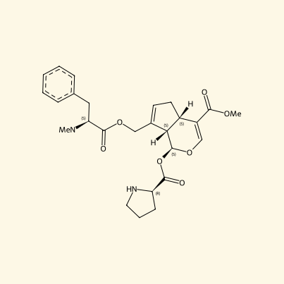 CN[C@@H](Cc1ccccc1)C(=O)OCC1=CC[C@@H]2C(C(=O)OC)=CO[C@@H](OC(=O)[C@H]3CCCN3)[C@H]12